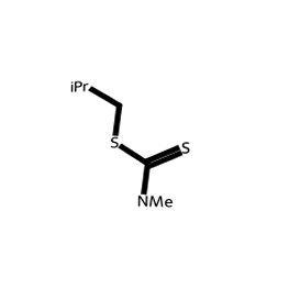 CNC(=S)SCC(C)C